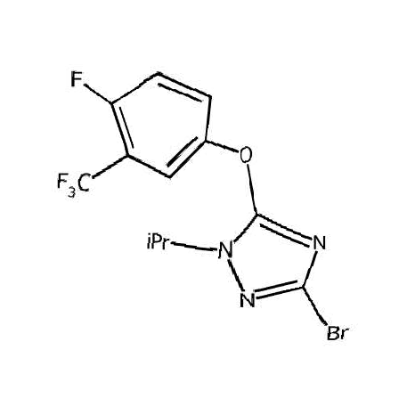 CC(C)n1nc(Br)nc1Oc1ccc(F)c(C(F)(F)F)c1